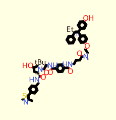 CC/C(=C(\c1ccc(O)cc1)c1ccc(OCCN(C)C(=O)CCCNC(=O)c2ccc(C(=O)N[C@H](C(=O)N3C[C@H](O)C[C@H]3C(=O)NCc3ccc(-c4scnc4C)cc3)C(C)(C)C)cc2)cc1)c1ccccc1